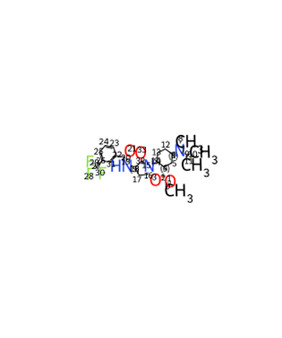 COC(=O)[C@H]1C[C@H](N(C)C(C)C)CC[C@@H]1N1CC[C@H](NC(=O)c2cccc(C(F)(F)F)c2)C1=O